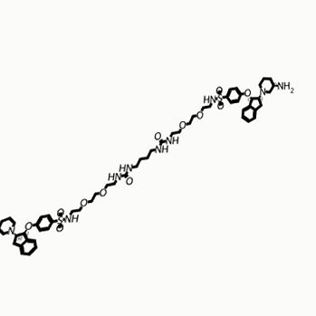 N[C@@H]1CCCN([C@H]2Cc3ccccc3[C@@H]2Oc2ccc(S(=O)(=O)NCCOCCOCCNC(=O)NCCCCNC(=O)NCCOCCOCCNS(=O)(=O)c3ccc(O[C@H]4c5ccccc5C[C@@H]4N4CCC[C@@H](N)C4)cc3)cc2)C1